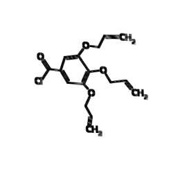 C=CCOc1cc(C(=O)Cl)cc(OCC=C)c1OCC=C